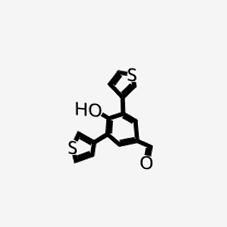 O=Cc1cc(-c2ccsc2)c(O)c(-c2ccsc2)c1